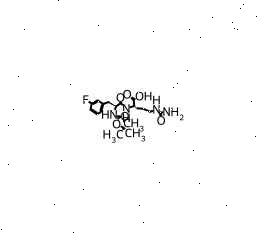 CC(C)(C)OC(=O)N[C@@H](Cc1cccc(F)c1)C(=O)N[C@@H](CCCNC(N)=O)C(=O)O